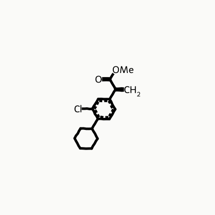 C=C(C(=O)OC)c1ccc(C2CCCCC2)c(Cl)c1